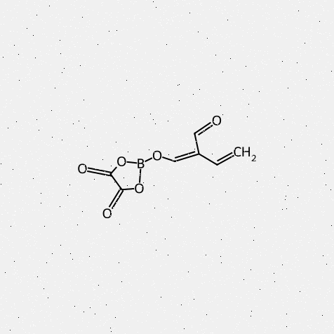 C=CC(C=O)=COB1OC(=O)C(=O)O1